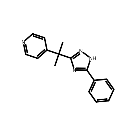 CC(C)(c1ccncc1)c1n[nH]c(-c2ccccc2)n1